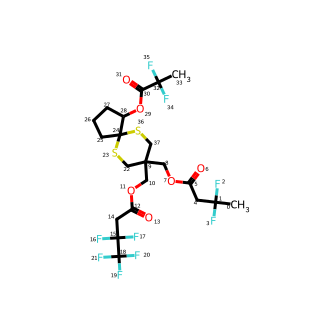 CC(F)(F)CC(=O)OCC1(COC(=O)CC(F)(F)C(F)(F)F)CSC2(CCCC2OC(=O)C(C)(F)F)SC1